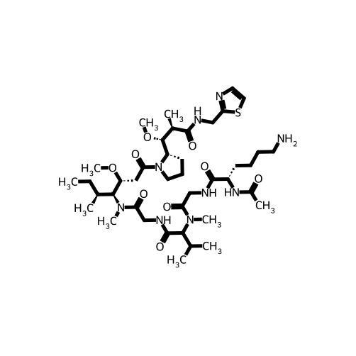 CC[C@H](C)[C@@H]([C@@H](CC(=O)N1CCC[C@H]1[C@H](OC)[C@@H](C)C(=O)NCc1nccs1)OC)N(C)C(=O)CNC(=O)C(C(C)C)N(C)C(=O)CNC(=O)[C@H](CCCCN)NC(C)=O